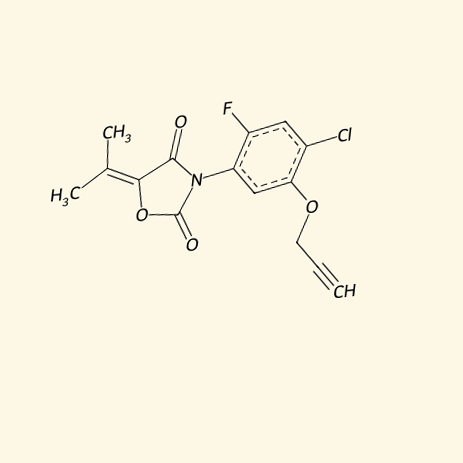 C#CCOc1cc(N2C(=O)OC(=C(C)C)C2=O)c(F)cc1Cl